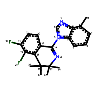 Cc1cccc2c1ncn2C1=NC(C)(C)C(C)(C)c2c1ccc(F)c2F